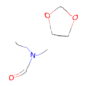 C1COCO1.CN(C)C=O